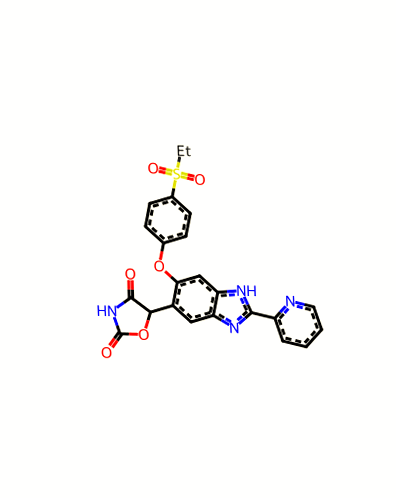 CCS(=O)(=O)c1ccc(Oc2cc3[nH]c(-c4ccccn4)nc3cc2C2OC(=O)NC2=O)cc1